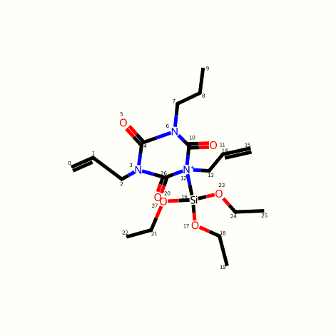 C=CCN1C(=O)N(CCC)C(=O)[N+](CC=C)([Si](OCC)(OCC)OCC)C1=O